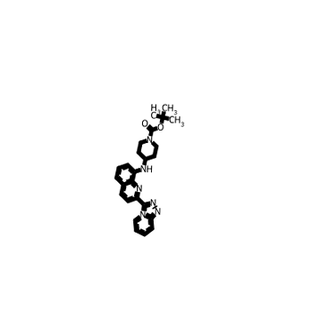 CC(C)(C)OC(=O)N1CCC(Nc2cccc3ccc(-c4nnc5ccccn45)nc23)CC1